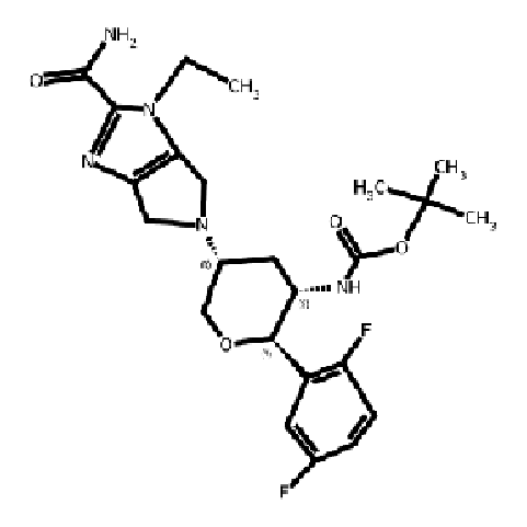 CCn1c(C(N)=O)nc2c1CN([C@H]1CO[C@H](c3cc(F)ccc3F)[C@@H](NC(=O)OC(C)(C)C)C1)C2